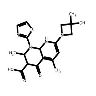 CC1=C2C(=O)C(C(=O)O)C(C)N(c3nccs3)C2NC(N2CC(C)(O)C2)=C1